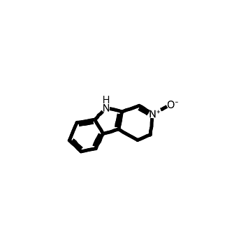 [O-][N+]1=Cc2[nH]c3ccccc3c2CC1